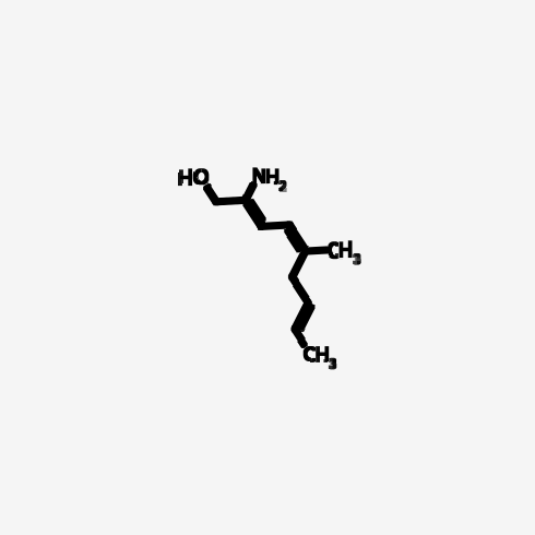 C/C=C/C/C(C)=C\C=C(/N)CO